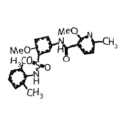 COc1ccc(NC(=O)c2ccc(C)nc2OC)cc1S(=O)(=O)Nc1c(C)cccc1C